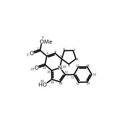 COC(=O)C1=CC2(CCCC2)n2c(-c3ccccc3)cc(O)c2C1=O